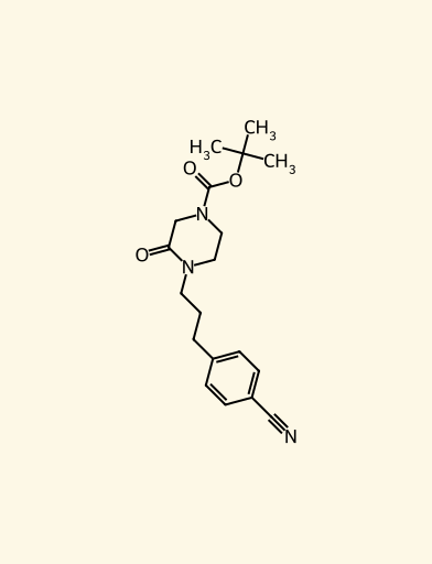 CC(C)(C)OC(=O)N1CCN(CCCc2ccc(C#N)cc2)C(=O)C1